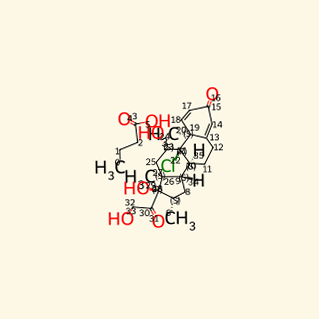 CCCC(=O)O.C[C@H]1C[C@H]2[C@@H]3CCC4=CC(=O)C=C[C@]4(C)[C@@]3(Cl)[C@@H](O)C[C@]2(C)[C@@]1(O)C(=O)CO